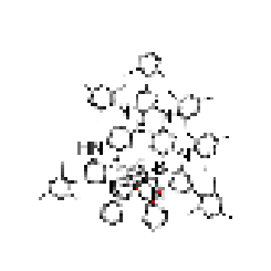 Cc1cc(C)c(-c2cc3c4c(c2)N(c2ccccc2)c2c(sc5ccccc25)B4c2cc4c(cc2N3)N(c2c(C)cc(C)cc2C)c2cc(-c3c(C)cc(C)cc3C)cc3c2B4c2cc4c(cc2N3c2c(C)cc(C)cc2C)N(c2c(C)cc(C)cc2C)c2cc(-c3c(C)cc(C)cc3C)cc3c2B4c2sc4ccccc4c2N3c2ccccc2)c(C)c1